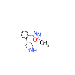 Cc1nnc(-c2ccccc2C2CCNCC2)o1